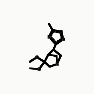 COC1(OC)CN2CC(c3nc(C)no3)C1C2